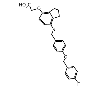 O=C(O)COc1ccc(SCc2ccc(OCc3ccc(F)cc3)cc2)c2c1CCC2